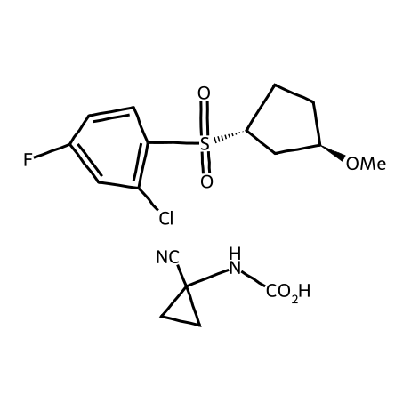 CO[C@@H]1CC[C@@H](S(=O)(=O)c2ccc(F)cc2Cl)C1.N#CC1(NC(=O)O)CC1